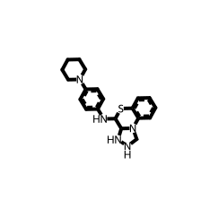 c1ccc2c(c1)SC(Nc1ccc(N3CCCCC3)cc1)C1NNCN21